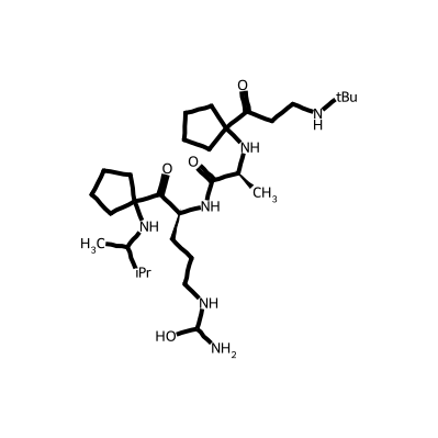 CC(C)C(C)NC1(C(=O)[C@H](CCCNC(N)O)NC(=O)[C@H](C)NC2(C(=O)CCNC(C)(C)C)CCCC2)CCCC1